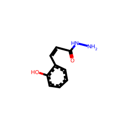 NNC(=O)/C=C\c1ccccc1O